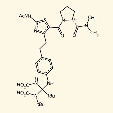 CC(=O)Nc1nc(CCc2ccc(NC(NC(=O)O)(N(C(=O)O)C(C)(C)C)C(C)(C)C)cc2)c(C(=O)N2CCC[C@@H]2C(=O)N(C)C)s1